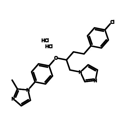 Cc1nccn1-c1ccc(OC(CCc2ccc(Cl)cc2)Cn2ccnc2)cc1.Cl.Cl